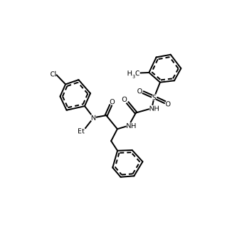 CCN(C(=O)C(Cc1ccccc1)NC(=O)NS(=O)(=O)c1ccccc1C)c1ccc(Cl)cc1